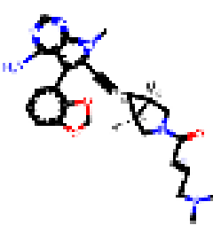 CN(C)C/C=C/C(=O)N1C[C@@H]2[C@@H](C#Cc3c(-c4cccc5c4OCO5)c4c(N)ncnc4n3C)[C@@H]2C1